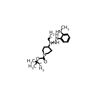 C=CN(NNc1ccccc1NC)C1CCN(C(=O)OC(C)(C)C)CC1